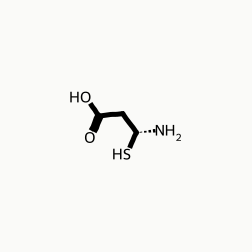 N[C@H](S)CC(=O)O